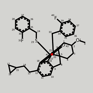 COC1CCC2(CC1)Cc1ccc(CCC3CC3)cc1C21N=C(SCc2ccccc2F)N(Cc2ccccc2F)C1=O